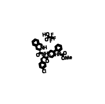 COC(=O)Nc1ccccc1C1CCN(C(=O)[C@@H](Cc2ccc(Cl)cc2)NC(=O)[C@@H]2Cc3ccccc3CN2)CC1.O=C(O)C(F)(F)F